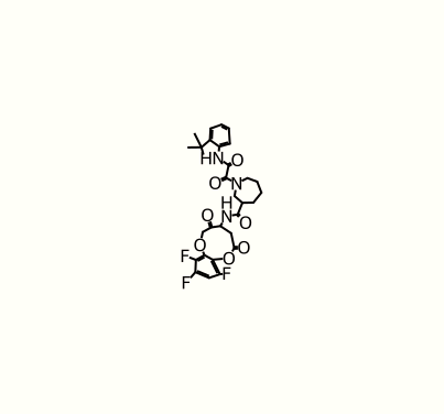 CC(C)(C)c1ccccc1NC(=O)C(=O)N1CCCCC(C(=O)NC2CC(=O)Oc3c(F)cc(F)c(F)c3OCC2=O)C1